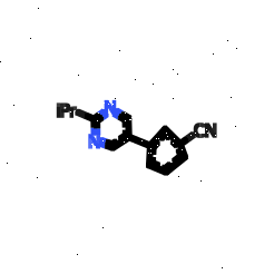 CC(C)c1ncc(-c2cccc(C#N)c2)cn1